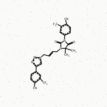 CC1(C)C(=O)N(c2ccc(C#N)c(C(F)(F)F)c2)C(=O)N1CC=CCn1cc(-c2ccc(C#N)c(C(F)(F)F)c2)nn1